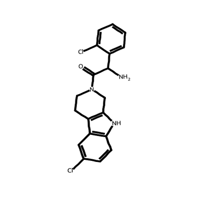 NC(C(=O)N1CCc2c([nH]c3ccc(Cl)cc23)C1)c1ccccc1Cl